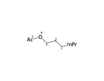 CCCC[CH]COC(C)=O